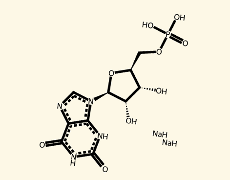 O=c1[nH]c(=O)c2ncn([C@H]3O[C@@H](COP(=O)(O)O)[C@H](O)[C@@H]3O)c2[nH]1.[NaH].[NaH]